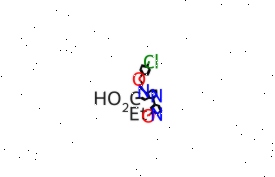 CCOc1cc(-c2nccc3c2cc(C(=O)O)n3CCOc2ccc(Cl)cc2)ccn1